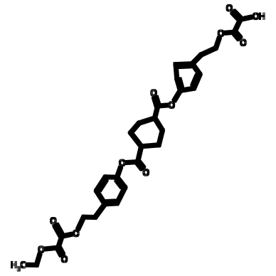 CCOC(=O)C(=O)OCCc1ccc(OC(=O)C2CCC(C(=O)Oc3ccc(CCOC(=O)C(=O)O)cc3)CC2)cc1